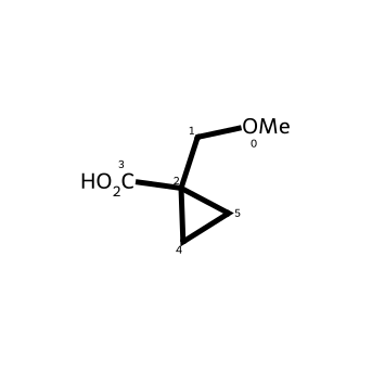 COCC1(C(=O)O)CC1